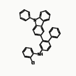 Clc1ccccc1Nc1ccc(-c2ccccc2)c(-c2ccc3c(c2)c2ccccc2n3-c2ccccc2)c1